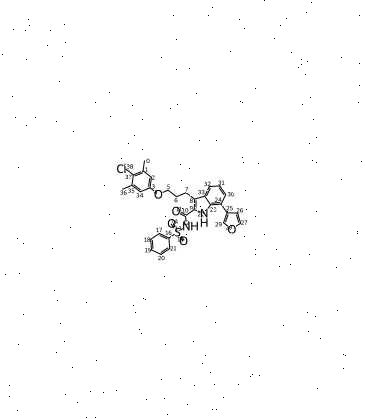 Cc1cc(OCCCc2c(C(=O)NS(=O)(=O)c3ccccc3)[nH]c3c(-c4ccoc4)cccc23)cc(C)c1Cl